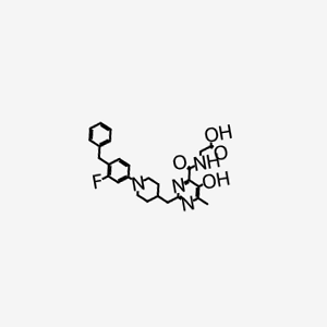 Cc1nc(CC2CCN(c3ccc(Cc4ccccc4)c(F)c3)CC2)nc(C(=O)NCC(=O)O)c1O